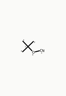 CC(C)(C)OC#N